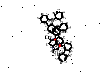 CC/C1=C(c2ccccc2)/N=C(/c2cccc3oc4ccccc4c23)C(C)/C(C)=C(\c2cccc(-n3c4ccccc4c4c3ccc3c5ccccc5n(-c5ccccc5)c34)c2)C1